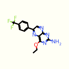 CCOc1nc(N)nc2ncc(-c3ccc(C(F)(F)F)cc3)nc12